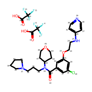 O=C(O)C(F)(F)F.O=C(O)C(F)(F)F.O=C(c1cc(Cl)cc(OCCNc2ccncc2)c1)N(CCCN1CCCC1)C1CCOCC1